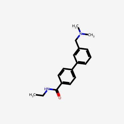 CCNC(=O)c1ccc(-c2cccc(CN(C)C)c2)cc1